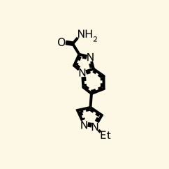 CCn1cc(-c2ccc3nc(C(N)=O)cn3c2)cn1